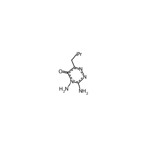 CC(C)Cc1nnc(N)n(N)c1=O